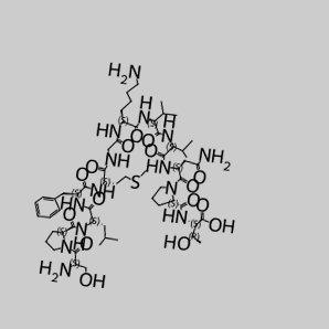 CSCC[C@H](NC(=O)[C@H](Cc1ccccc1)NC(=O)[C@H](CC(C)C)NC(=O)[C@@H]1CCCN1C(=O)[C@@H](N)CO)C(=O)NCC(=O)N[C@@H](CCCCN)C(=O)N[C@H](C(=O)N[C@H](C(=O)N[C@@H](CC(N)=O)C(=O)N1CCC[C@H]1C(=O)N[C@H](C(=O)O)[C@@H](C)O)C(C)C)C(C)C